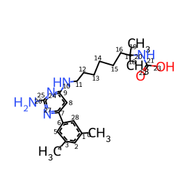 Cc1cc(C)cc(-c2cc(NCCCCCCC(C)(C)NC(=O)O)nc(N)n2)c1